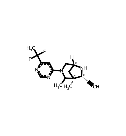 C#C[C@H]1N[C@H]2CN(c3cc(C(C)(F)F)ncn3)C(C)[C@@]1(C)C2